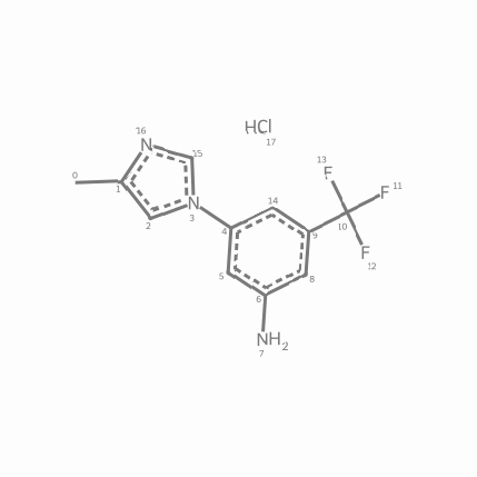 Cc1cn(-c2cc(N)cc(C(F)(F)F)c2)cn1.Cl